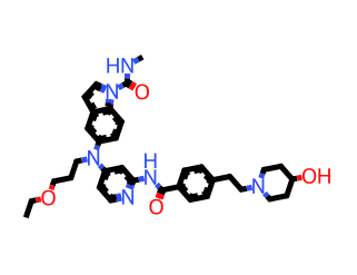 CCOCCCN(c1ccnc(NC(=O)c2ccc(CCN3CCC(O)CC3)cc2)c1)c1ccc2c(ccn2C(=O)NC)c1